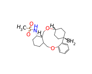 B[C@]12CC[C@H](CC1)OC[C@@H]1C(CCC[C@@H]1NS(C)(=O)=O)COc1ccccc12